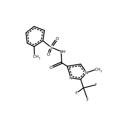 Cc1ccccc1S(=O)(=O)NC(=O)c1cn(C)c(C(F)(F)F)n1